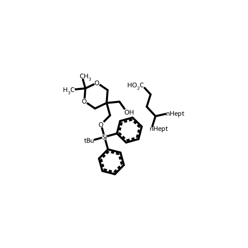 CC1(C)OCC(CO)(CO[Si](c2ccccc2)(c2ccccc2)C(C)(C)C)CO1.CCCCCCCC(CCCCCCC)CCC(=O)O